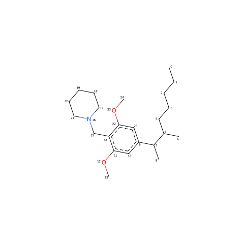 CCCCCC(C)C(C)c1cc(OC)c(CN2CCCCC2)c(OC)c1